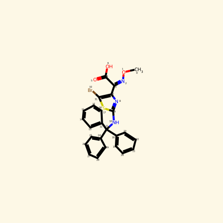 CON=C(C(=O)O)c1nc(NC(c2ccccc2)(c2ccccc2)c2ccccc2)sc1Br